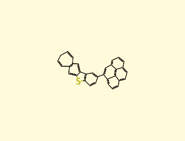 C1=Cc2cc3sc4ccc(-c5cc6cccc7ccc8cccc5c8c76)cc4c3cc2C=CC1